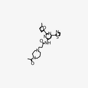 CC(=O)N1CCCN(CCC(=O)Nc2cc(-c3nccs3)nc(-c3ccc(C)o3)n2)CC1